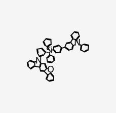 c1ccc(-n2c3ccccc3c3cc(-c4ccc([Si](c5ccccc5)(c5ccccc5)c5cccc(-n6c7ccccc7c7cc8c(cc76)oc6ccccc68)c5)cc4)ccc32)cc1